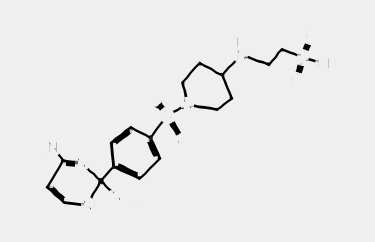 CS(=O)(=O)CCNC1CCN(S(=O)(=O)c2ccc(C3(N)N=C(N)C=CN3)cc2)CC1